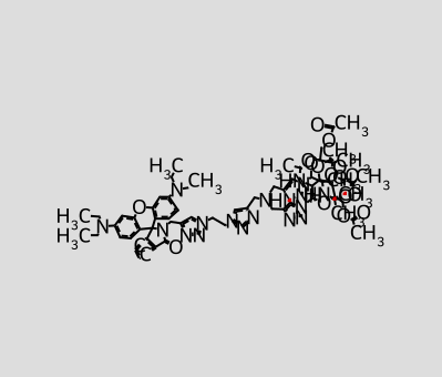 CCN(CC)c1ccc2c(c1)Oc1cc(N(CC)CC)ccc1C21c2ccccc2C(=O)N1Cc1cn(CCn2cc(CN(CC3=CN(C(OC(COC(C)=O)C(C)OC(C)=O)C(C)NC(C)=O)NN3)Cc3cn(C4OC(COC(C)=O)C(OC(C)=O)C(OC(C)=O)C4NC(C)=O)nn3)nn2)nn1